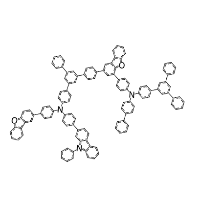 c1ccc(-c2ccc(N(c3ccc(-c4cc(-c5ccccc5)cc(-c5ccccc5)c4)cc3)c3ccc(-c4cc(-c5ccc(-c6cc(-c7ccccc7)cc(-c7ccc(N(c8ccc(-c9ccc%10oc%11ccccc%11c%10c9)cc8)c8ccc(-c9ccc%10c%11ccccc%11n(-c%11ccccc%11)c%10c9)cc8)cc7)c6)cc5)cc5c4oc4ccccc45)cc3)cc2)cc1